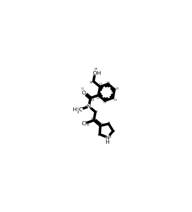 CN(C/C(Cl)=C1\CCNC1)C(=O)c1ccccc1CO